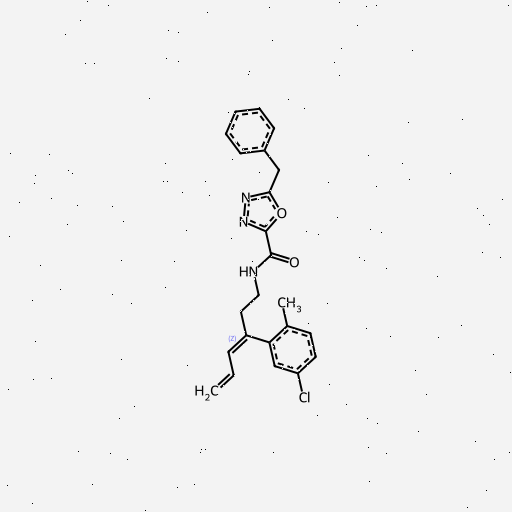 C=C/C=C(/CCNC(=O)c1nnc(Cc2ccccc2)o1)c1cc(Cl)ccc1C